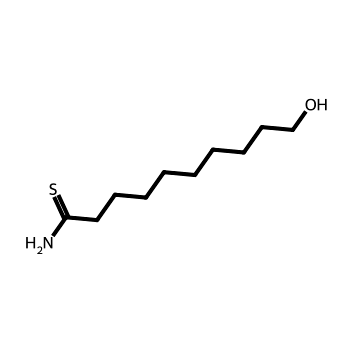 NC(=S)CCCCCCCCCO